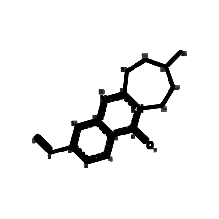 C=Cc1ccc2c(=O)n3c(nc2c1)CCC(C)CC3